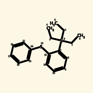 CC[Si](CC)(CC)c1ccccc1Sc1[c]cccc1